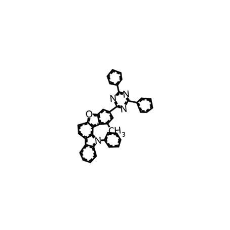 Cc1cc(-c2nc(-c3ccccc3)nc(-c3ccccc3)n2)cc2oc3ccc4c5ccccc5n(-c5ccccc5)c4c3c12